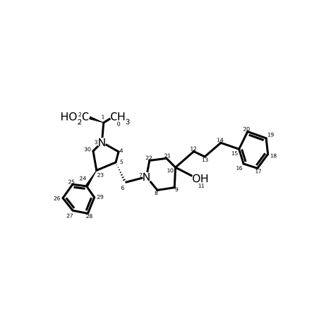 C[C@H](C(=O)O)N1C[C@H](CN2CCC(O)(CCCc3ccccc3)CC2)[C@@H](c2ccccc2)C1